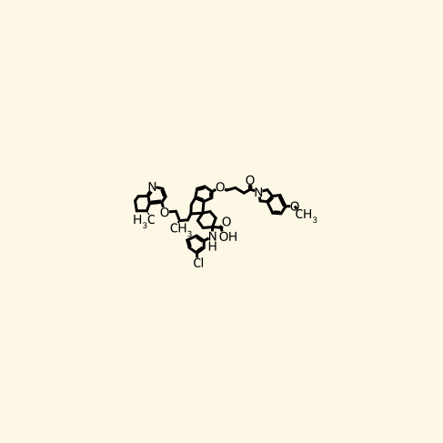 COc1ccc2c(c1)CN(C(=O)CCCOc1ccc3c(c1)C1(CCC(Nc4cccc(Cl)c4)(C(=O)O)CC1)C(C[C@@H](C)COc1ccnc4c1[C@H](C)CCC4)C3)C2